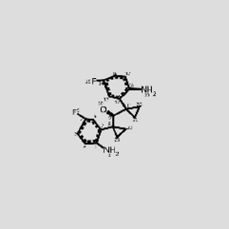 Nc1ccc(F)cc1C1(C(=O)C2(c3cc(F)ccc3N)CC2)CC1